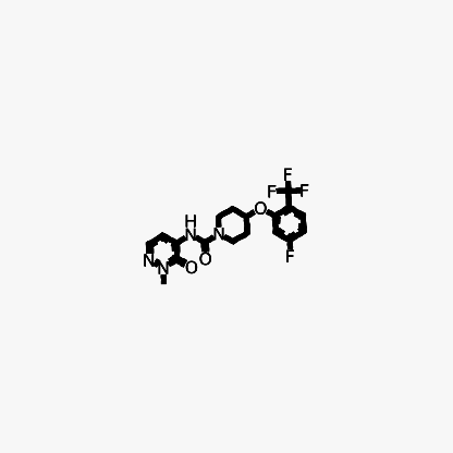 Cn1nccc(NC(=O)N2CCC(Oc3cc(F)ccc3C(F)(F)F)CC2)c1=O